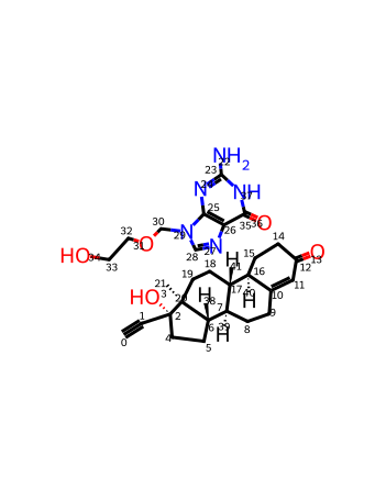 C#C[C@]1(O)CC[C@H]2[C@@H]3CCC4=CC(=O)CC[C@@H]4[C@H]3CC[C@@]21C.Nc1nc2c(ncn2COCCO)c(=O)[nH]1